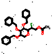 CC(=O)OC[C@H](F)C1OCC(OCc2ccccc2)C(OCc2ccccc2)[C@@H]1OCc1ccccc1